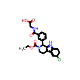 CCOC(=O)N1CCc2c([nH]c3c2=CC(Cl)CC=3)C1c1cccc(C(=O)NCC(=O)O)c1